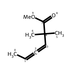 CC=C=CC(C)(C)C(=O)OC